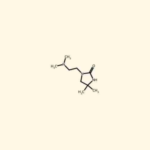 CN(C)CCN1CC(C)(C)NC1=O